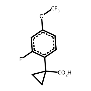 O=C(O)C1(c2ccc(OC(F)(F)F)cc2F)CC1